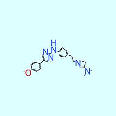 COc1ccc(-c2cnc(Nc3ccc(CCN4CCC(N(C)C)C4)cc3)nc2)cc1